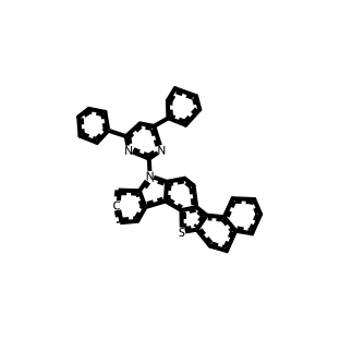 c1ccc(-c2cc(-c3ccccc3)nc(-n3c4ccccc4c4c5sc6ccc7ccccc7c6c5ccc43)n2)cc1